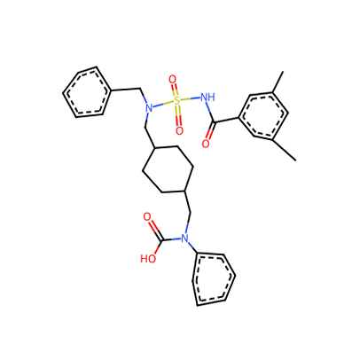 Cc1cc(C)cc(C(=O)NS(=O)(=O)N(Cc2ccccc2)CC2CCC(CN(C(=O)O)c3ccccc3)CC2)c1